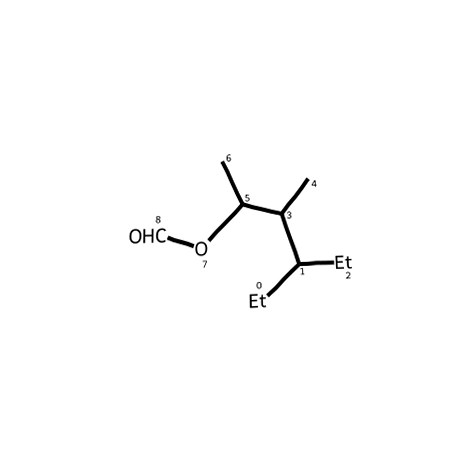 CCC(CC)C(C)C(C)OC=O